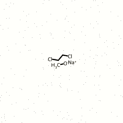 C[O-].ClCCCl.[Na+]